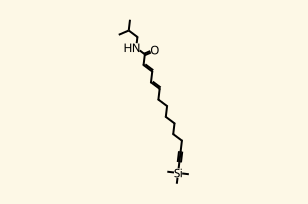 CC(C)CNC(=O)C=CC=CCCCCCCC#C[Si](C)(C)C